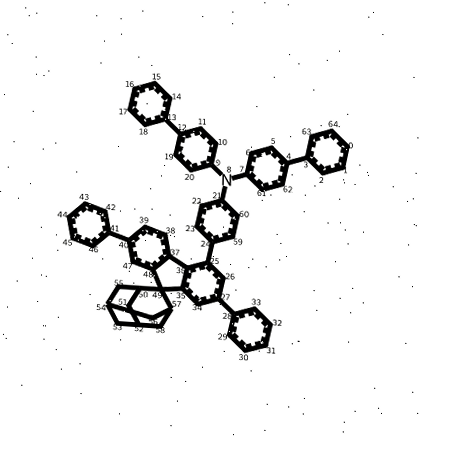 c1ccc(-c2ccc(N(c3ccc(-c4ccccc4)cc3)c3ccc(-c4cc(-c5ccccc5)cc5c4-c4ccc(-c6ccccc6)cc4C54C5CC6CC(C5)CC4C6)cc3)cc2)cc1